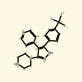 FC(F)(F)c1ccc(-c2[nH]nc(N3CCNCC3)c2-c2ccncc2)cc1